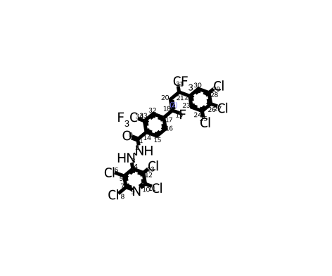 O=C(NNc1c(Cl)c(Cl)nc(Cl)c1Cl)c1ccc(/C(F)=C/C(c2cc(Cl)c(Cl)c(Cl)c2)C(F)(F)F)cc1C(F)(F)F